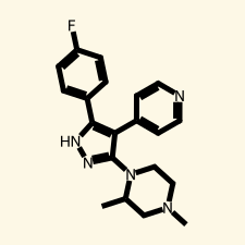 CC1CN(C)CCN1c1n[nH]c(-c2ccc(F)cc2)c1-c1ccncc1